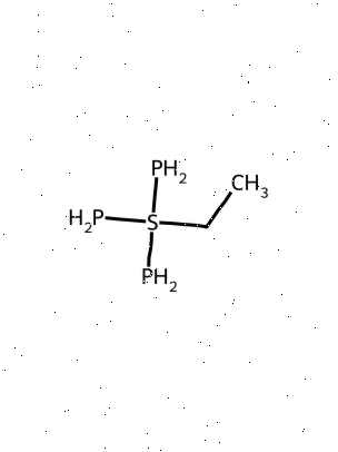 CCS(P)(P)P